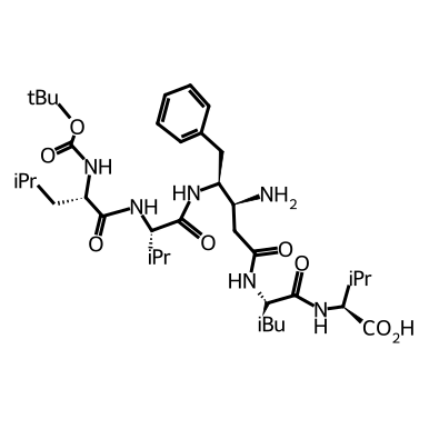 CC[C@H](C)[C@H](NC(=O)C[C@H](N)[C@H](Cc1ccccc1)NC(=O)[C@@H](NC(=O)[C@H](CC(C)C)NC(=O)OC(C)(C)C)C(C)C)C(=O)N[C@H](C(=O)O)C(C)C